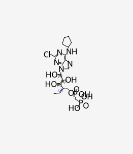 C/C=C(/COP(=O)(O)CP(=O)(O)O)[C@@H](O)[C@@H](O)[C@@H](O)n1cnc2c(NC3CCCC3)nc(Cl)nc21